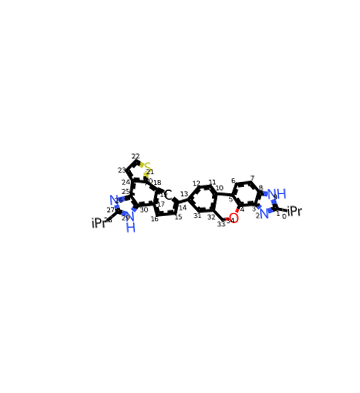 CC(C)c1nc2c3c(ccc2[nH]1)-c1ccc(-c2ccc4c(c2)c2sccc2c2nc(C(C)C)[nH]c42)cc1CO3